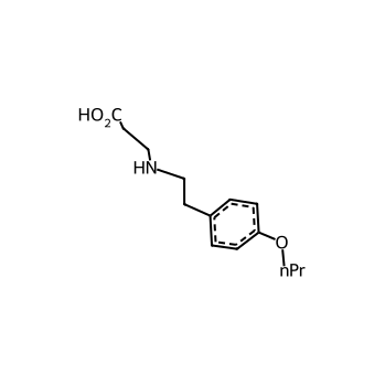 CCCOc1ccc(CCNCCC(=O)O)cc1